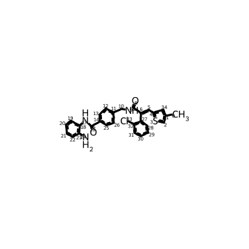 Cc1csc(C=C(C(=O)NCc2ccc(C(=O)Nc3ccccc3N)cc2)c2ccccc2Cl)c1